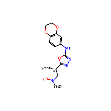 CCCCC[C@@H](CN(O)C=O)c1nnc(Nc2ccc3c(c2)OCCO3)o1